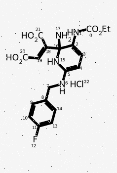 CCOC(=O)NC1=CC=C(NCc2ccc(F)cc2)NC1(N)C(=CC(=O)O)C(=O)O.Cl